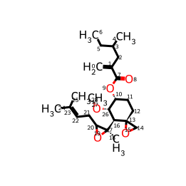 C=C(CC(C)CC)C(=O)O[C@@H]1CC[C@]2(CO2)[C@@H]([C@@]2(C)OC2CC=C(C)C)[C@@H]1OC